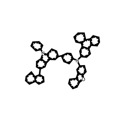 c1ccc(-n2c3ccc(-c4ccc(N(c5ccc6oc7ccccc7c6c5)c5ccc6c7ccccc7c7ccccc7c6c5)cc4)cc3c3cc(-c4cccc5ccccc45)ccc32)cc1